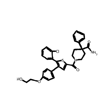 NC(=O)C1(c2ccccc2)CCN(C(=O)c2cc(-c3ccc(OCCO)cc3)c(-c3ccccc3Cl)s2)CC1